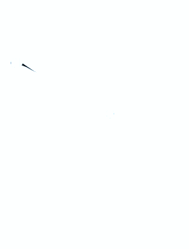 Cl[C@H]1CC[C@H](OCc2ccccc2)CC1